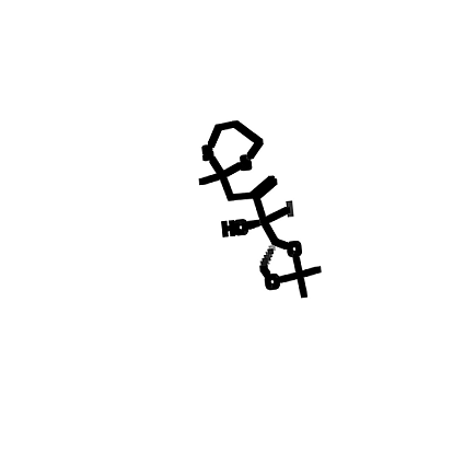 C=C(CC1(C)SCCCS1)[C@](O)(I)[C@H]1COC(C)(C)O1